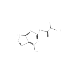 CC(C)C(=O)Nc1nc(O)c2cn[nH]c2n1